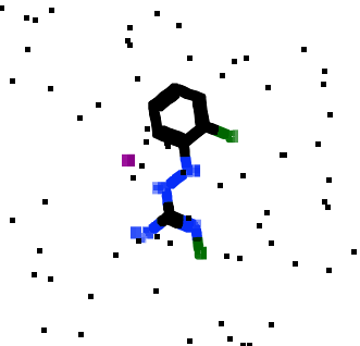 I.NC(=NCl)NNc1ccccc1Cl